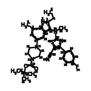 CCn1nc2c(C)cc(N3CCN(C(=O)OC(C)(C)C)CC3)cc2c1N(C)c1nc(-c2ccc(F)cc2)c(C#N)s1